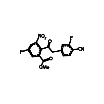 COC(=O)c1cc(F)cc([N+](=O)[O-])c1C(=O)Cc1ccc(C#N)c(F)c1